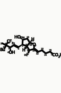 CCCCC(C)([C@H](O)/C=C/[C@@H]1[C@H]2C(F)/C(=C/CCCC(=O)O)O[C@@H]2C[C@H]1O)C(F)(F)F